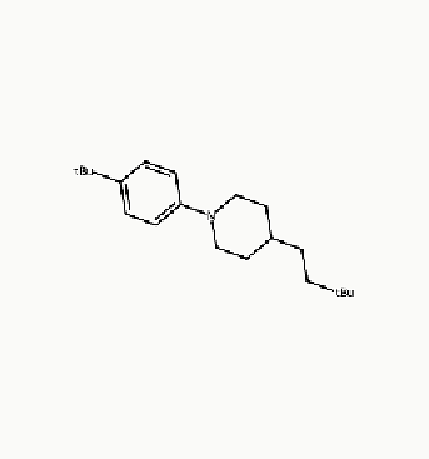 CC(C)(C)CCC1CCN(c2ccc(C(C)(C)C)cc2)CC1